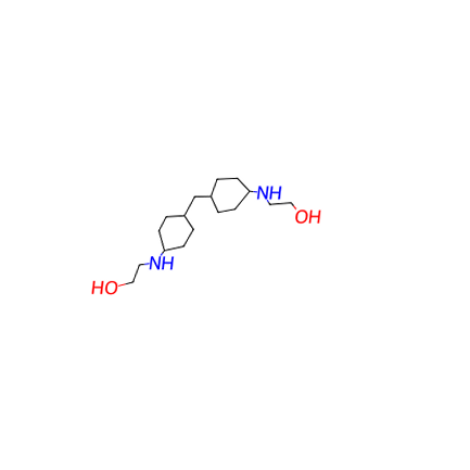 OCCNC1CCC(CC2CCC(NCCO)CC2)CC1